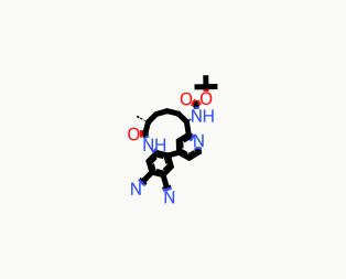 C[C@@H]1CCC[C@H](NC(=O)OC(C)(C)C)c2cc(ccn2)-c2cc(C#N)c(C#N)cc2NC1=O